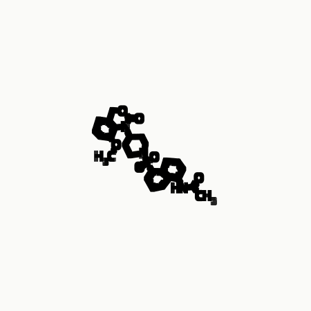 COc1cccc2c1N(C1CCN(S(=O)(=O)c3cccc4c(NC(C)=O)cccc34)CC1)C(=O)OC2